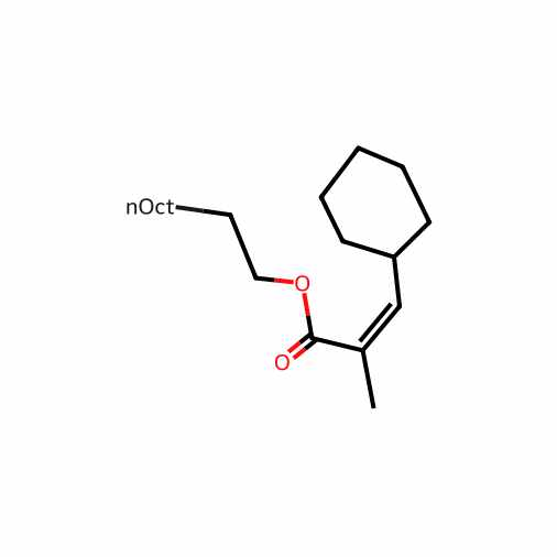 CCCCCCCCCCOC(=O)C(C)=CC1CCCCC1